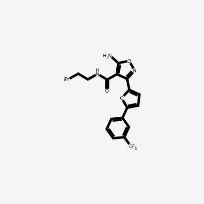 CC(C)CCNC(=O)c1c(-c2ccc(-c3cccc(C(F)(F)F)c3)o2)noc1N